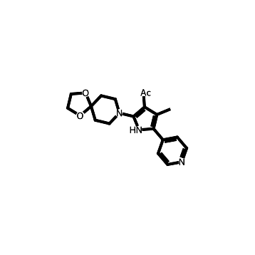 CC(=O)c1c(N2CCC3(CC2)OCCO3)[nH]c(-c2ccncc2)c1C